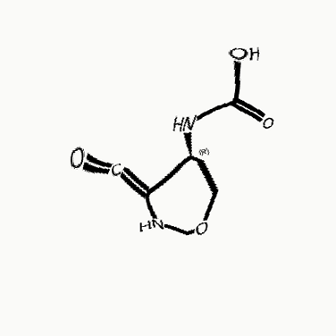 O=C=C1NOC[C@@H]1NC(=O)O